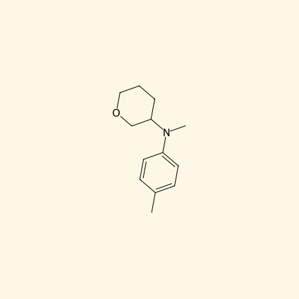 Cc1ccc(N(C)C2CCCOC2)cc1